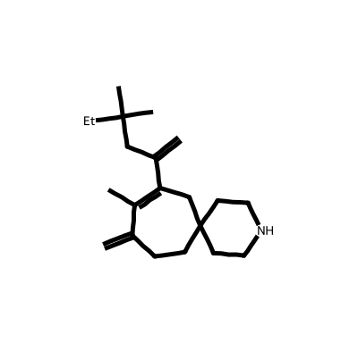 C=C1CCC2(CCNCC2)CC(C(=C)CC(C)(C)CC)=C1C